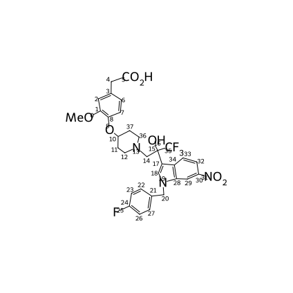 COc1cc(CC(=O)O)ccc1OC1CCN(CC(O)(c2cn(Cc3ccc(F)cc3)c3cc([N+](=O)[O-])ccc23)C(F)(F)F)CC1